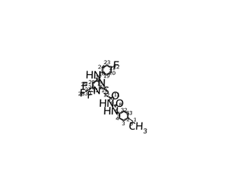 CCc1ccc(NC(=O)NC(=O)CSc2nc(Nc3ccc(F)cc3)cc(C(F)(F)F)n2)cc1